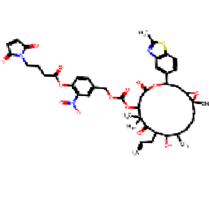 C=CCC1C(=O)C(C)(C)C(OC(=O)OCc2ccc(OC(=O)CCCN3C(=O)C=CC3=O)c([N+](=O)[O-])c2)CC(=O)OC(c2ccc3sc(C)nc3c2)CC2OC2(C)CCCC(C)C1O